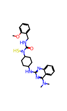 COc1ccccc1CNC(=O)N(S)C1CCC(Nc2nc(N(C)C)c3ccccc3n2)CC1